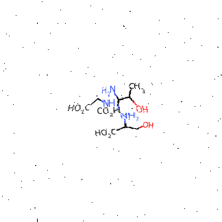 CC(O)C(N)C(=O)O.NC(CO)C(=O)O.NCC(=O)O